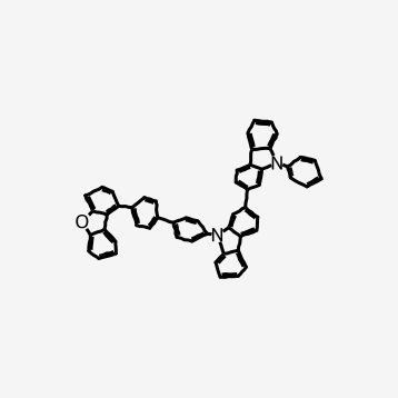 c1ccc(-n2c3ccccc3c3ccc(-c4ccc5c6ccccc6n(-c6ccc(-c7ccc(-c8cccc9oc%10ccccc%10c89)cc7)cc6)c5c4)cc32)cc1